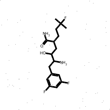 CC(C)(F)CCC(CC(O)C(N)Cc1cc(F)cc(F)c1)C(N)=O